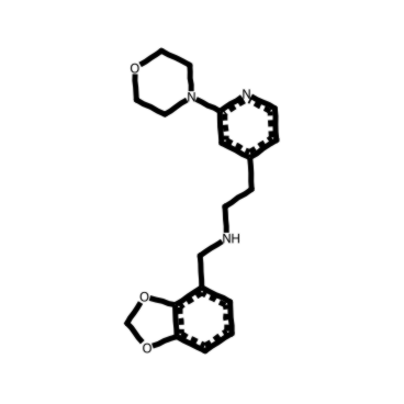 c1cc(CNCCc2ccnc(N3CCOCC3)c2)c2c(c1)OCO2